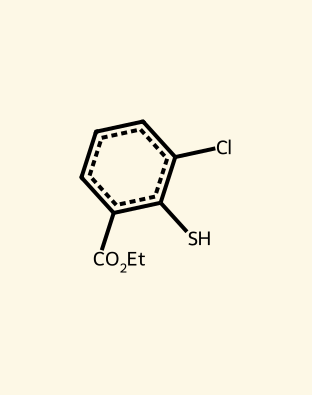 CCOC(=O)c1cccc(Cl)c1S